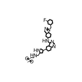 CS(=O)(=O)CCNCc1cc(-c2ccc3ncnc(Nc4ccc5c(cnn5Cc5cccc(F)c5)c4)c3c2)c[nH]1